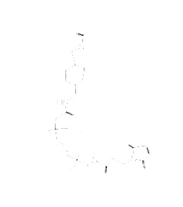 CC(C)(CNC(=O)CCN1C(=O)C=CC1=O)COCC(C)(C)CC(=O)NCC1CCC(CNC(=O)C(C)(C)C)CC1